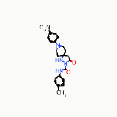 Cc1ccc(NC(=O)N2NC3(CCN(c4ccc([N+](=O)[O-])cc4)CC3)CC2=O)cc1